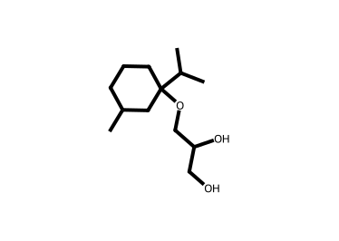 CC1CCCC(OCC(O)CO)(C(C)C)C1